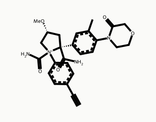 C#Cc1ccc([N+]2(C(N)=O)C[C@H](OC)C[C@]2(C(N)=O)c2ccc(N3CCOCC3=O)c(C)c2)cc1